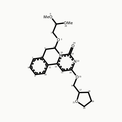 COC(COC1Cc2ccccc2-c2cc(OCC3CCCO3)nc(=O)n21)OC